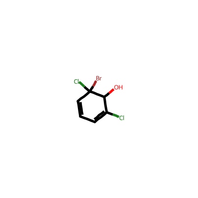 OC1C(Cl)=CC=CC1(Cl)Br